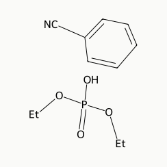 CCOP(=O)(O)OCC.N#Cc1ccccc1